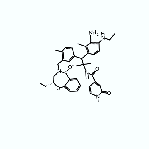 CCNc1ccc(C(c2ccc(C)c(CN3C[C@@H](CC)Oc4ccccc4[S+]3[O-])c2)C(C)(C)NC(=O)c2ccn(C)c(=O)c2)c(C)c1N